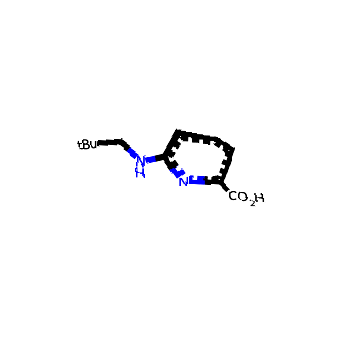 CC(C)(C)CNc1cccc(C(=O)O)n1